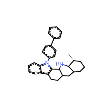 C[C@@H]1CCCC2CC3CCc4c(n(-c5ccc(-c6ccccc6)cc5)c5ccccc45)C3NC21